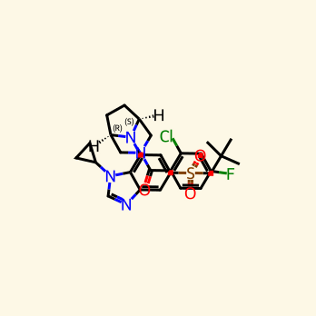 CC(C)(C)CS(=O)(=O)c1cc(N2[C@@H]3CC[C@H]2CN(C(=O)c2ccc(F)cc2Cl)C3)c2c(c1)ncn2C1CC1